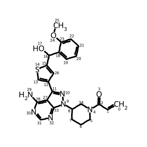 C=CC(=O)N1CCCC(n2nc(-c3csc(C(O)c4ccccc4OC)c3)c3c(N)ncnc32)C1